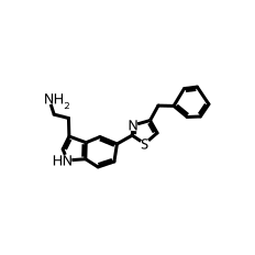 NCCc1c[nH]c2ccc(-c3nc(Cc4ccccc4)cs3)cc12